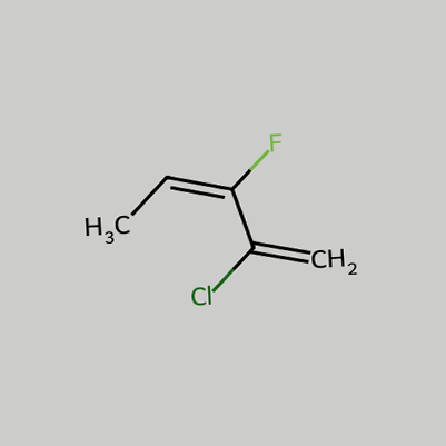 C=C(Cl)/C(F)=C\C